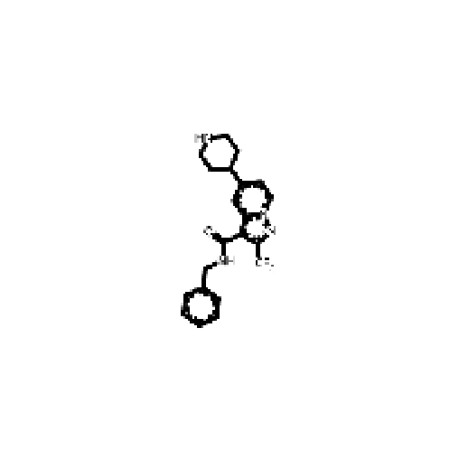 O=C(NCc1ccccc1)c1c(C(F)(F)F)nn2ccc(C3CCNCC3)cc12